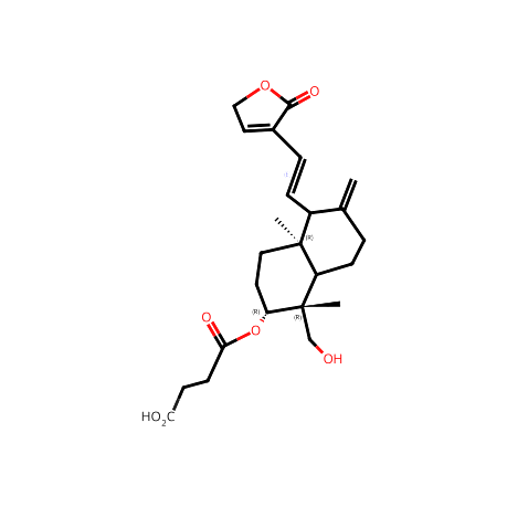 C=C1CCC2[C@@](C)(CC[C@@H](OC(=O)CCC(=O)O)[C@@]2(C)CO)C1/C=C/C1=CCOC1=O